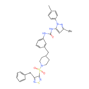 Cc1ccc(-n2nc(C(C)(C)C)cc2NC(=O)Nc2cccc(CC3CCN(S(=O)(=O)c4nsnc4Cc4ccccc4)CC3)c2)cc1